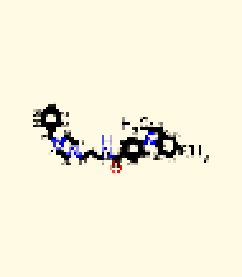 Cc1cc2c(n1-c1ccc(C(=O)NCCCN3CCN(Cc4ccccc4)CC3)cc1)CCC(C)C2